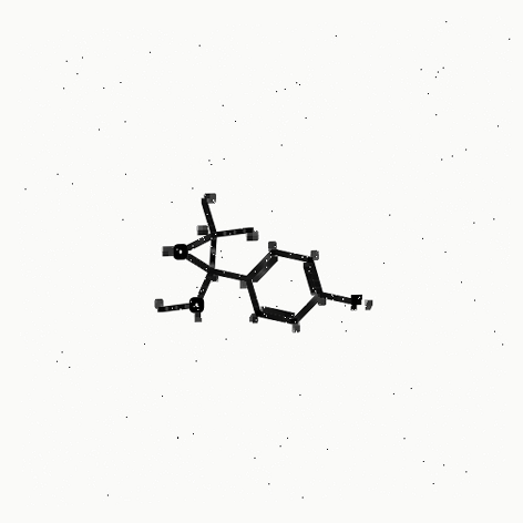 COC1(c2ccc(F)cc2)OC1(C)C